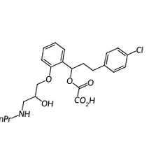 CCCNCC(O)COc1ccccc1C(CCc1ccc(Cl)cc1)OC(=O)C(=O)O